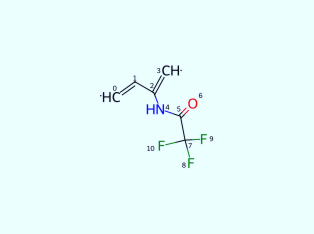 [CH]=CC(=[CH])NC(=O)C(F)(F)F